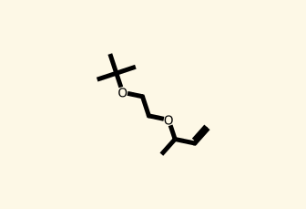 C=CC(C)OCCOC(C)(C)C